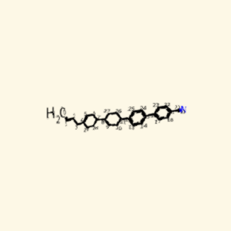 C=CCCC1=CCC(C2CCC(c3ccc(-c4ccc(C#N)cc4)cc3)CC2)CC1